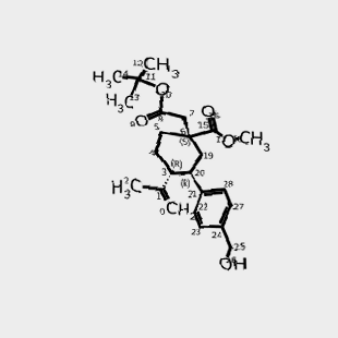 C=C(C)[C@@H]1CC[C@](CC(=O)OC(C)(C)C)(C(=O)OC)C[C@H]1c1ccc(CO)cc1